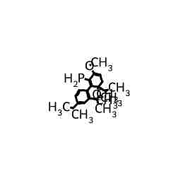 COC1=CCC(OC)(C(C)C)C(c2ccc(C(C)C)cc2C(C)C)=C1P